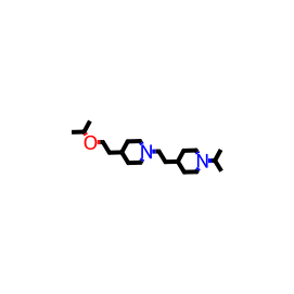 CC(C)OCCC1CCN(CCC2CCN(C(C)C)CC2)CC1